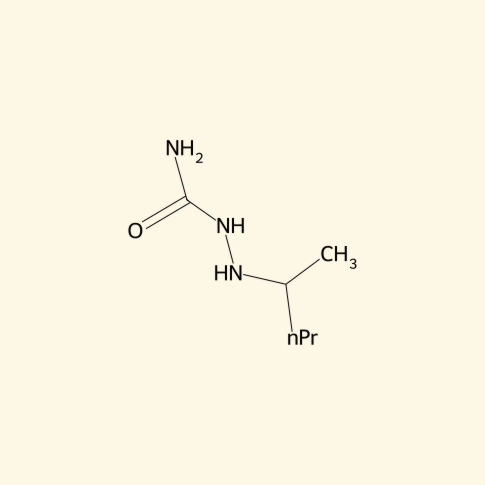 CCCC(C)NNC(N)=O